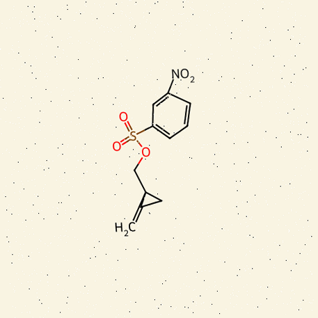 C=C1CC1COS(=O)(=O)c1cccc([N+](=O)[O-])c1